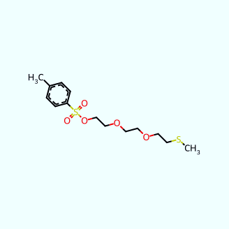 CSCCOCCOCCOS(=O)(=O)c1ccc(C)cc1